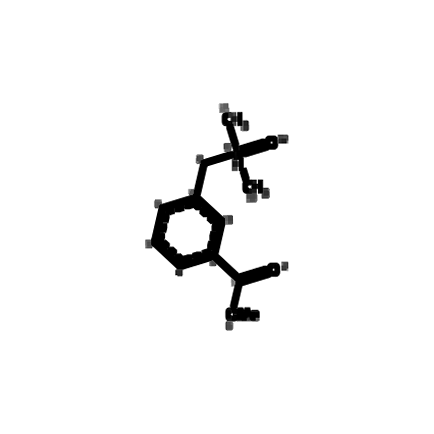 COC(=O)c1cccc(C[SH](C)(C)=O)c1